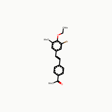 COCOc1c(Br)cc(/C=C/c2ccc(C(=O)OC)cc2)cc1OC